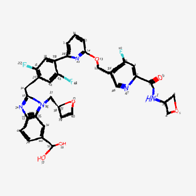 O=C(NC1COC1)c1cc(F)c(COc2cccc(-c3cc(F)c(Cc4nc5ccc(C(O)O)cc5n4C[C@@H]4CCO4)cc3F)n2)cn1